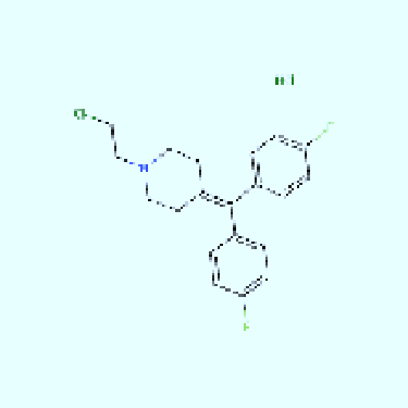 Cl.Fc1ccc(C(=C2CCN(CCCl)CC2)c2ccc(F)cc2)cc1